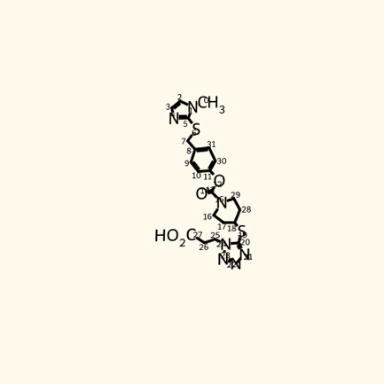 Cn1ccnc1SCc1ccc(OC(=O)N2CCC(Sc3nnnn3CCC(=O)O)CC2)cc1